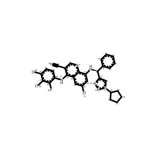 N#Cc1cnc2c(N[C@@H](c3ccccc3)c3cn(C4CCCC4)nn3)cc(Cl)cc2c1Nc1ccc(Cl)c(Cl)c1F